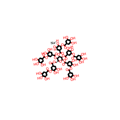 O=C(OC[C@H]1O[C@H](OC(=O)c2cc(O)c(O)c(OC(=O)c3cc(O)c(O)c(O)c3)c2)[C@H](OC(=O)c2cc(O)c(O)c(OC(=O)c3cc(O)c(O)c(O)c3)c2)[C@@H](OC(=O)c2cc(O)c(O)c(OC(=O)c3cc(O)c(O)c(O)c3)c2)[C@@H]1OC(=O)c1cc(O)c(O)c(OC(=O)c2cc(O)c(O)c(O)c2)c1)c1cc(O)c(O)c(OC(=O)c2cc(O)c(O)c(O)c2)c1.[Na+]